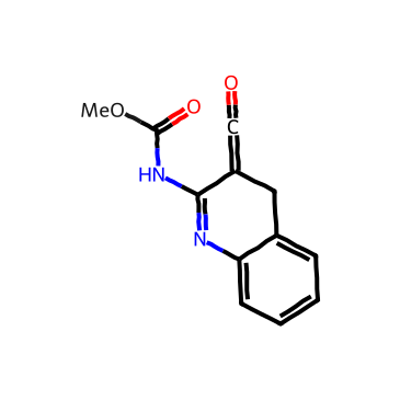 COC(=O)NC1=Nc2ccccc2CC1=C=O